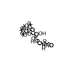 CC(=O)OCC1O[C@@H](Oc2cc3c(c4ccccc24)CC(O)CN3C(=O)c2cc3cc(NC(=O)c4cc5ccccc5[nH]4)ccc3[nH]2)C(OC(C)=O)[C@@H](OC(C)=O)[C@H]1OC(C)=O